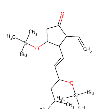 C=CC1C(=O)CC(O[Si](C)(C)C(C)(C)C)C1C=CC(CC(C)CCCC)O[Si](C)(C)C(C)(C)C